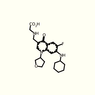 O=C(O)CNCc1cn(C2CCOC2)c2cc(NC3CCCCC3)c(F)cc2c1=O